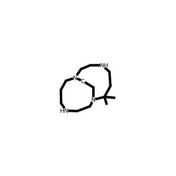 CC1(C)CCNCCN2CCCNCCN1CC2